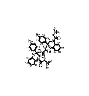 CN(C)CC(=O)N1CC(OC(=O)C(=O)OC2(c3ccc(F)cc3)CN(C(=O)CN(C)C)c3ccccc3S2)(c2ccc(F)cc2)Sc2ccccc21